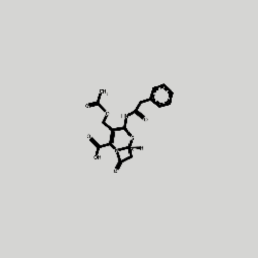 CC(=O)OCC1=C(C(=O)O)N2C(=O)C[C@H]2SC1NC(=O)Cc1ccccc1